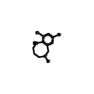 [O-][S+]1CCCNc2c(Cl)cc(Br)cc2C1